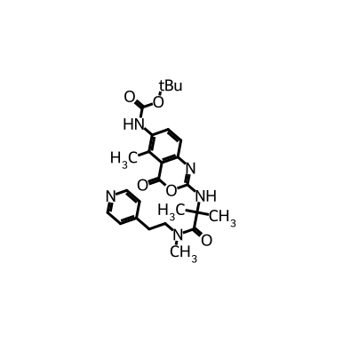 Cc1c(NC(=O)OC(C)(C)C)ccc2nc(NC(C)(C)C(=O)N(C)CCc3ccncc3)oc(=O)c12